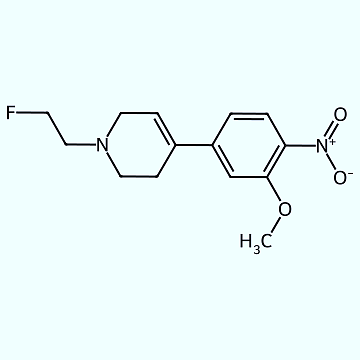 COc1cc(C2=CCN(CCF)CC2)ccc1[N+](=O)[O-]